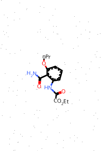 CCCOc1cccc(NC(=O)C(=O)OCC)c1C(N)=O